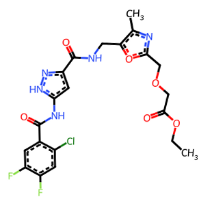 CCOC(=O)COCc1nc(C)c(CNC(=O)c2cc(NC(=O)c3cc(F)c(F)cc3Cl)[nH]n2)o1